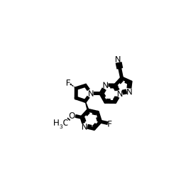 COc1ncc(F)cc1[C@H]1C[C@H](F)CN1c1ccn2ncc(C#N)c2n1